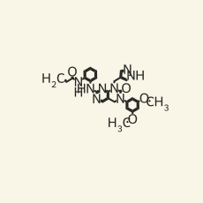 C=CC(=O)Nc1ccccc1Nc1ncc2c(n1)N(Cc1cn[nH]c1)C(=O)N(c1cc(OC)cc(OC)c1)C2